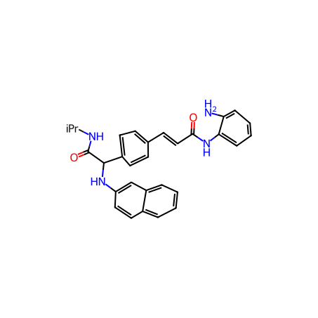 CC(C)NC(=O)C(Nc1ccc2ccccc2c1)c1ccc(C=CC(=O)Nc2ccccc2N)cc1